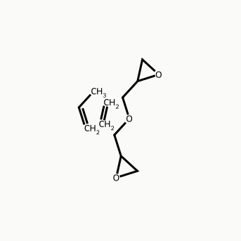 C(OCC1CO1)C1CO1.C=C.C=CC